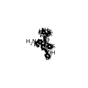 Cn1nc(N)c2cccc(-c3ccc(C#CC4(O)CCOCC4)nc3[C@H](Cc3cc(F)cc(F)c3)NC(=O)Cn3nc(C(F)(F)F)c4c3C(F)(F)[C@@H]3C[C@H]43)c21